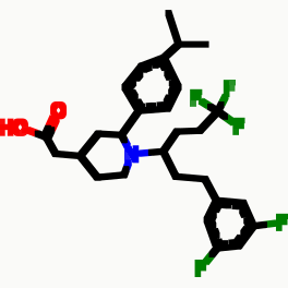 CC(C)c1ccc(C2CC(CC(=O)O)CCN2C(CCc2cc(F)cc(F)c2)CCC(F)(F)F)cc1